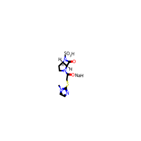 Cn1ccnc1SCC(=O)N1CC[C@@H]2[C@H]1C(=O)N2S(=O)(=O)O.[NaH]